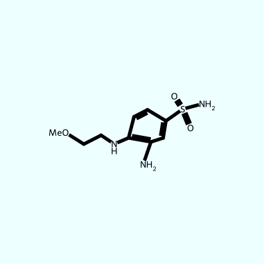 COCCNc1ccc(S(N)(=O)=O)cc1N